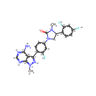 CN1C(=O)N(c2ccc(-c3nn(C)c4ncnc(N)c34)c(F)c2)CC1c1ccc(F)cc1F